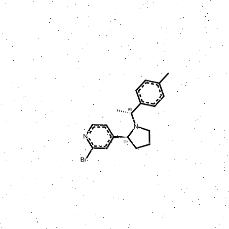 Cc1ccc([C@@H](C)N2CCC[C@H]2c2ccnc(Br)c2)cc1